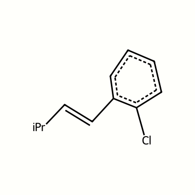 CC(C)C=Cc1ccccc1Cl